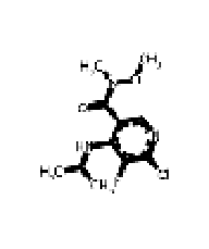 CON(C)C(=O)c1cnc(Cl)c(F)c1NC(C)C